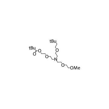 COCCOCCN(CCOCCOC(=O)C(C)(C)C)CCOCCC(C)(C)C